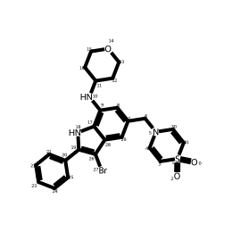 O=S1(=O)C=CN(Cc2cc(NC3CCOCC3)c3[nH]c(-c4ccccc4)c(Br)c3c2)C=C1